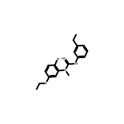 CCSc1ccc(Br)c(N(C)C(=N)Nc2cccc(CC)c2)c1